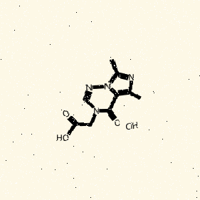 Cc1nc(C)n2ncn(CC(=O)O)c(=O)c12.Cl